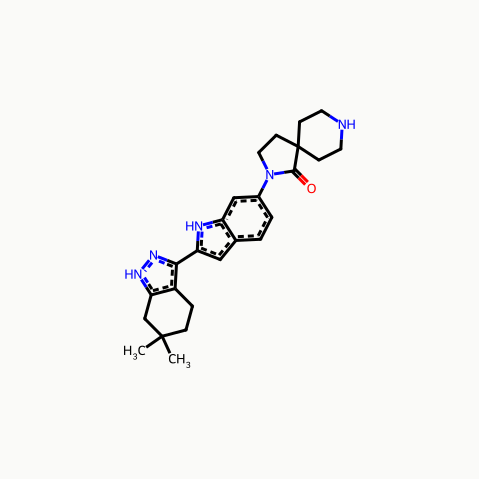 CC1(C)CCc2c(-c3cc4ccc(N5CCC6(CCNCC6)C5=O)cc4[nH]3)n[nH]c2C1